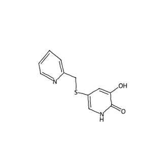 O=c1[nH]cc(SCc2ccccn2)cc1O